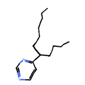 CCCCCCC(CCCC)c1ccncn1